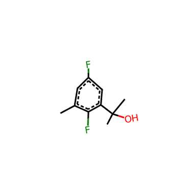 Cc1cc(F)cc(C(C)(C)O)c1F